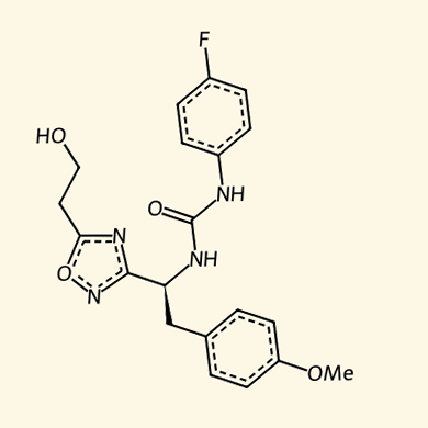 COc1ccc(C[C@H](NC(=O)Nc2ccc(F)cc2)c2noc(CCO)n2)cc1